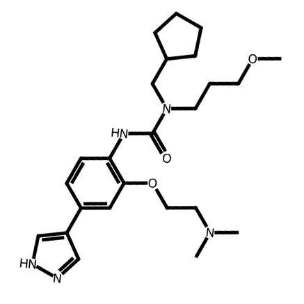 COCCCN(CC1CCCC1)C(=O)Nc1ccc(-c2cn[nH]c2)cc1OCCN(C)C